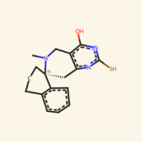 CN1Cc2c(O)nc(S)nc2C[C@]12CCCc1ccccc12